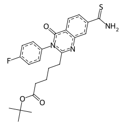 CC(C)(C)OC(=O)CCCCc1nc2cc(C(N)=S)ccc2c(=O)n1-c1ccc(F)cc1